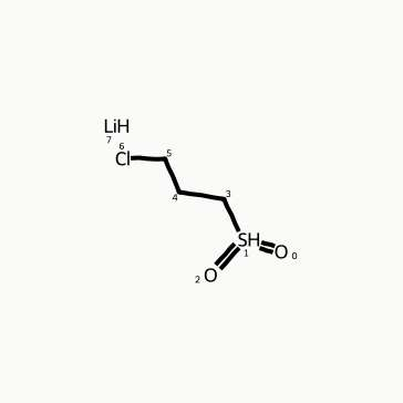 O=[SH](=O)CCCCl.[LiH]